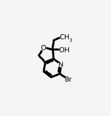 CCC1(O)OCc2ccc(Br)nc21